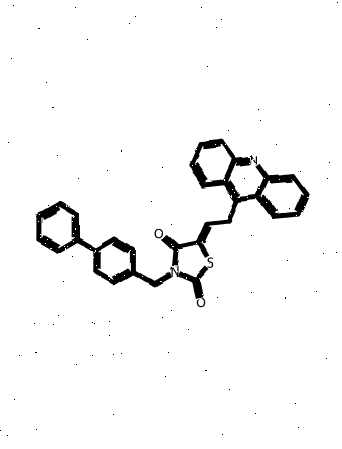 O=C1SC(=CCc2c3ccccc3nc3ccccc23)C(=O)N1Cc1ccc(-c2ccccc2)cc1